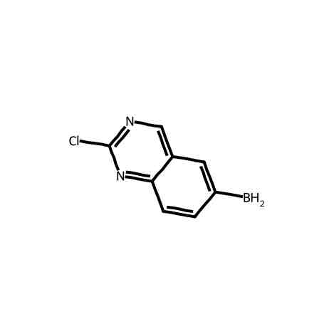 Bc1ccc2nc(Cl)ncc2c1